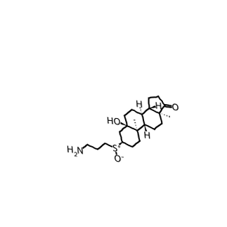 C[C@]12CC[C@H]3[C@@H](CC[C@@]4(O)C[C@H]([S+]([O-])CCCN)CC[C@]34C)[C@@H]1CCC2=O